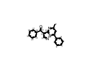 Cc1cc(-c2ccccc2)n2ncc(C(=O)c3ccccc3)c2n1